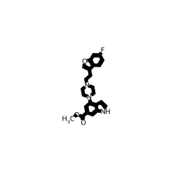 COC(=O)c1cc(N2CCN(CCc3coc4cc(F)ccc34)CC2)c2cc[nH]c2c1